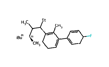 CCC(C1=C(C)C(C2=CCC(F)C=C2)=CCC1)C(C)[C@@H](C)[C@H](C)CC